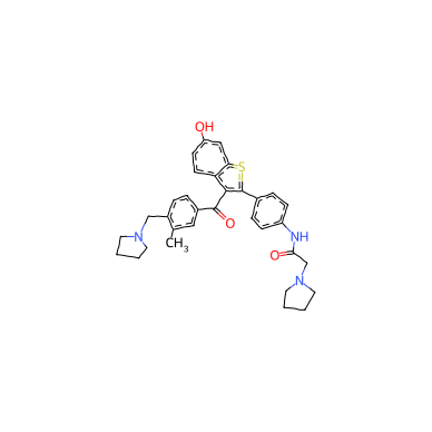 Cc1cc(C(=O)c2c(-c3ccc(NC(=O)CN4CCCC4)cc3)sc3cc(O)ccc23)ccc1CN1CCCC1